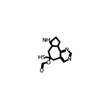 N.O=COC1(S)Cc2cncnc2C2CCCC2C1